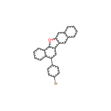 Brc1ccc(-c2cc3c4cc5ccccc5cc4oc3c3ccccc23)cc1